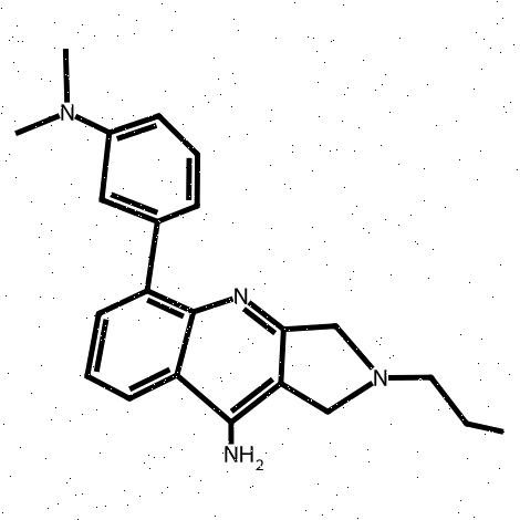 CCCN1Cc2nc3c(-c4cccc(N(C)C)c4)cccc3c(N)c2C1